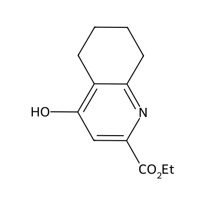 CCOC(=O)c1cc(O)c2c(n1)CCCC2